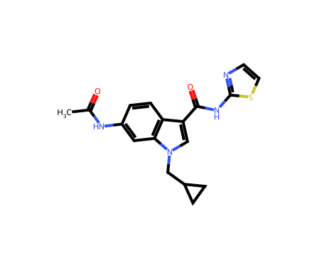 CC(=O)Nc1ccc2c(C(=O)Nc3nccs3)cn(CC3CC3)c2c1